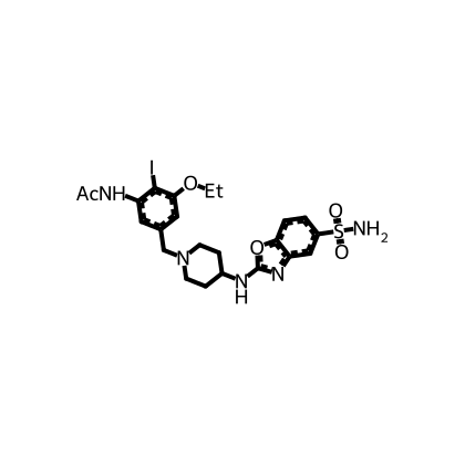 CCOc1cc(CN2CCC(Nc3nc4cc(S(N)(=O)=O)ccc4o3)CC2)cc(NC(C)=O)c1I